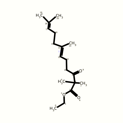 CCOC(=O)C(C)(C)C(=O)CC/C=C(\C)CCC=C(C)C